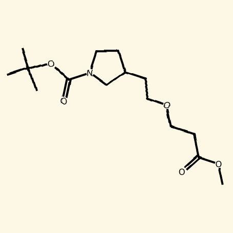 COC(=O)CCOCCC1CCN(C(=O)OC(C)(C)C)C1